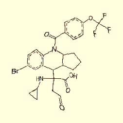 O=CCC(NC1CC1)(C(=O)O)C1c2cc(Br)ccc2N(C(=O)c2ccc(OC(F)(F)F)cc2)C2CCCC21